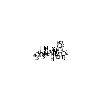 CN1[C@H](c2ccccc2)[C@@H](c2ccccc2)N(C)P1NCCNC(=S)Nc1ccccc1